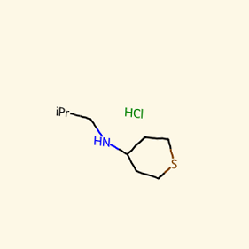 CC(C)CNC1CCSCC1.Cl